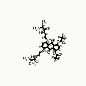 C[C@H](N)C(=O)NCCNc1ccc(NCCNC(=O)[C@H](C)N)c2c1C(=O)c1c(OC(=O)C(F)(F)F)ccc(OC(=O)C(F)(F)F)c1C2=O